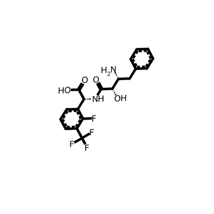 N[C@H](Cc1ccccc1)[C@H](O)C(=O)N[C@@H](C(=O)O)c1cccc(C(F)(F)F)c1F